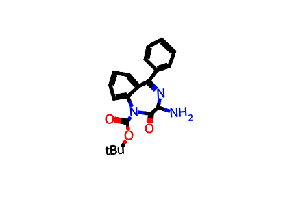 CC(C)(C)OC(=O)N1C(=O)C(N)N=C(c2ccccc2)c2ccccc21